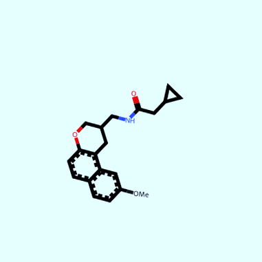 COc1ccc2ccc3c(c2c1)CC(CNC(=O)CC1CC1)CO3